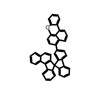 c1ccc2c(c1)Oc1ccc(-c3ccc4c(c3)C3(c5ccccc5-4)c4ccccc4-c4c3ccc3ccccc43)c3cccc-2c13